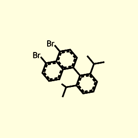 CC(C)c1cccc(C(C)C)c1-c1ccc(Br)c2c(Br)cccc12